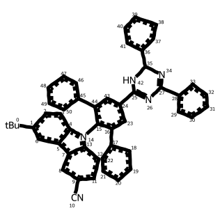 CC(C)(C)c1ccc2c(c1)c1cc(C#N)ccc1n2-c1c(-c2ccccc2)cc(C2=NC(c3ccccc3)=NC(c3ccccc3)N2)cc1-c1ccccc1